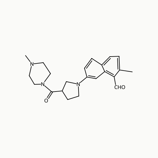 Cc1ccc2ccc(N3CCC(C(=O)N4CCN(C)CC4)C3)cc2c1C=O